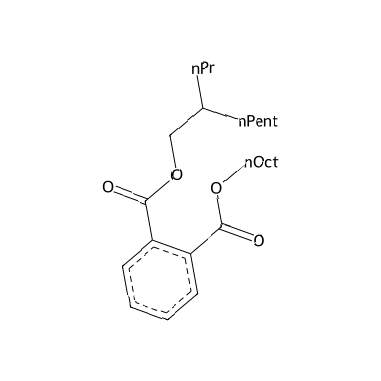 CCCCCCCCOC(=O)c1ccccc1C(=O)OCC(CCC)CCCCC